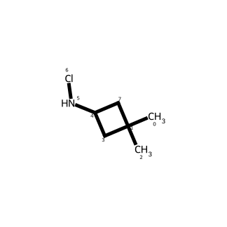 CC1(C)CC(NCl)C1